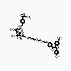 COc1ccc2c(C(=O)c3ccc(OCCOCCOCCOCCOCC(=O)N[C@H](C(=O)N4CC(O)CC4C(=O)NCc4ccc(-c5scnc5C)cc4)C(C)(C)C)cc3)c(-c3ccc(O)cc3)sc2c1